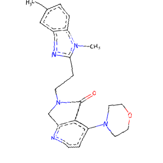 Cc1ccc2c(c1)nc(CCN1Cc3nccc(N4CCOCC4)c3C1=O)n2C